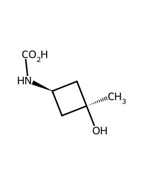 C[C@]1(O)C[C@@H](NC(=O)O)C1